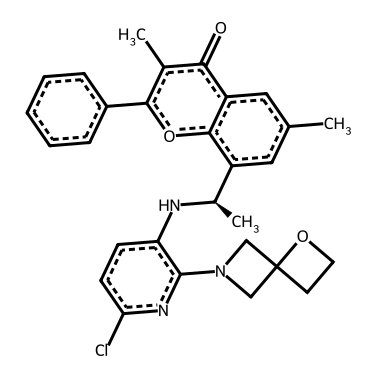 Cc1cc([C@@H](C)Nc2ccc(Cl)nc2N2CC3(CCO3)C2)c2oc(-c3ccccc3)c(C)c(=O)c2c1